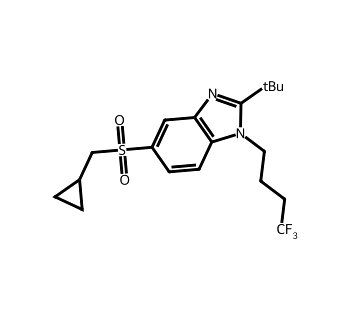 CC(C)(C)c1nc2cc(S(=O)(=O)CC3CC3)ccc2n1CCCC(F)(F)F